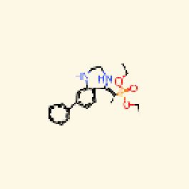 CCOP(=O)(OCC)C(C)=C1NCCNc2cc(-c3ccccc3)ccc21